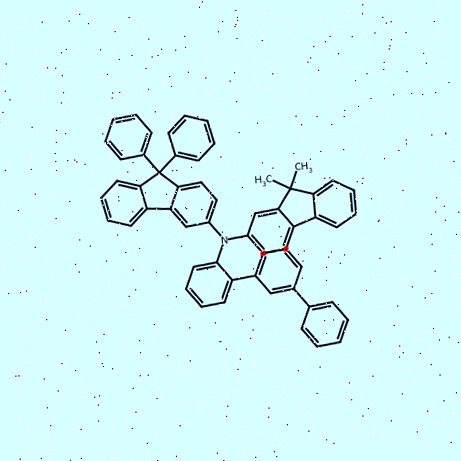 CC1(C)c2ccccc2-c2ccc(N(c3ccc4c(c3)-c3ccccc3C4(c3ccccc3)c3ccccc3)c3ccccc3-c3cccc(-c4ccccc4)c3)cc21